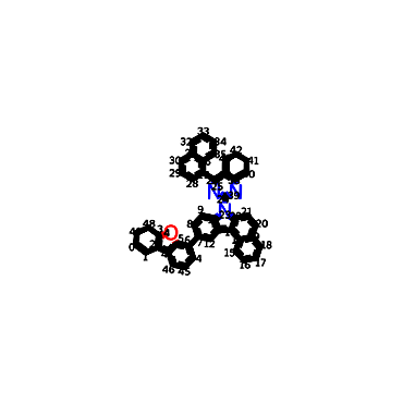 C1=Cc2c(oc3c(-c4ccc5c(c4)c4c6ccccc6ccc4n5-c4nc(-c5cccc6ccccc56)c5c(n4)=CCCC=5)cccc23)CC1